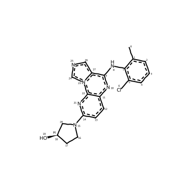 Cc1cccc(Cl)c1Nc1nc2ccc(N3CC[C@@H](O)C3)nc2n2cncc12